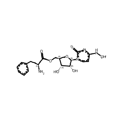 N[C@@H](Cc1ccccc1)C(=O)OC[C@H]1O[C@@H](n2ccc(NO)nc2=O)[C@H](O)[C@@H]1O